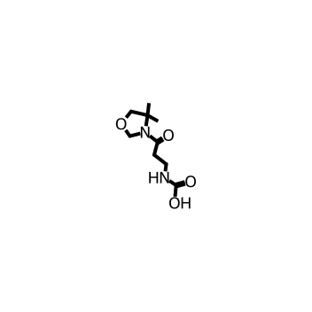 CC1(C)COCN1C(=O)CCNC(=O)O